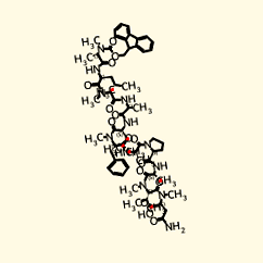 CC(C)C[C@H](NC(=O)[C@H](C)N(C)C(=O)OCC1c2ccccc2-c2ccccc21)C(=O)N(C)CC(=O)N[C@@H](C)C(=O)N[C@@H](CC(C)C)C(=O)N(C)[C@@H](Cc1ccccc1)C(=O)N[C@@H](C)C(=O)N1CCC[C@H]1C(=O)N[C@@H](C)C(=O)N(C)[C@H](C(=O)N(C)[C@@H](CC(N)=O)C(=O)O)C(C)C